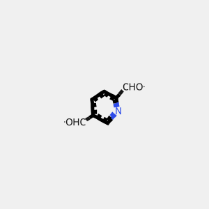 O=[C]c1ccc([C]=O)nc1